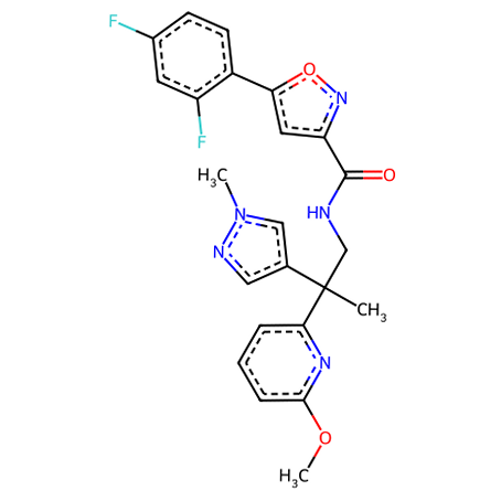 COc1cccc(C(C)(CNC(=O)c2cc(-c3ccc(F)cc3F)on2)c2cnn(C)c2)n1